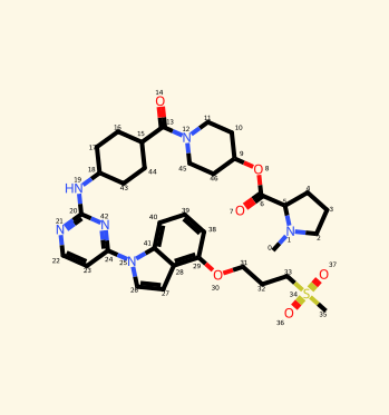 CN1CCCC1C(=O)OC1CCN(C(=O)C2CCC(Nc3nccc(-n4ccc5c(OCCCS(C)(=O)=O)cccc54)n3)CC2)CC1